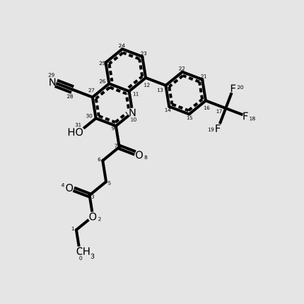 CCOC(=O)CCC(=O)c1nc2c(-c3ccc(C(F)(F)F)cc3)cccc2c(C#N)c1O